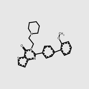 COc1ccccc1-c1ccc(-c2nc3ccsc3c(=O)n2CCN2CCCCC2)cc1